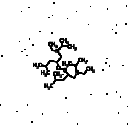 CCN(CC(CC(C)C)OOC(CC(C)C)CN(CC)C(C)C)C(C)C